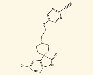 N#Cc1ncc(OCCN2CCC3(CC2)C(=O)Nc2ccc(Cl)cc23)cn1